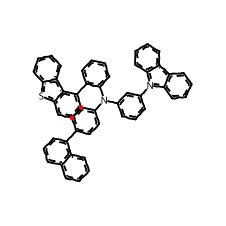 c1cc(N(c2ccc(-c3cccc4ccccc34)cc2)c2ccccc2-c2cccc3sc4ccccc4c23)cc(-n2c3ccccc3c3ccccc32)c1